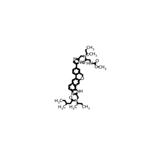 CCC(C)CC(=O)N(Cc1nc2ccc3cc4c(cc3c2[nH]1)OCc1cc(-c2cnc(CN(C(=O)CNC(=O)OC)[C@@H](C)CC)[nH]2)ccc1-4)[C@@H](C)CC